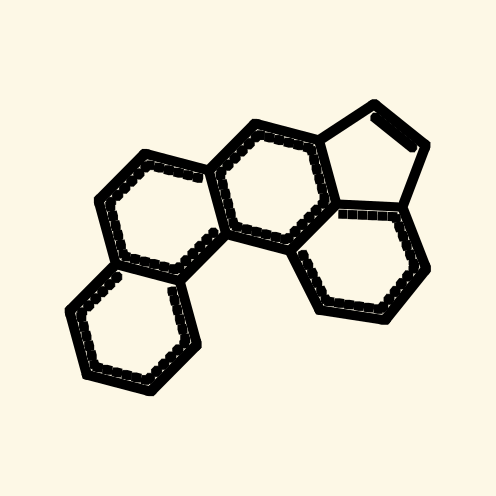 C1=Cc2cc3ccc4ccccc4c3c3cccc1c23